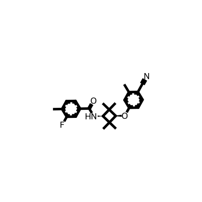 Cc1ccc(C(=O)N[C@H]2C(C)(C)[C@H](Oc3ccc(C#N)c(C)c3)C2(C)C)cc1F